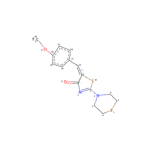 O=C1N=C(N2CCSCC2)S/C1=C/c1ccc(OC(F)(F)F)cc1